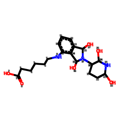 O=C(O)CCCCCNc1cccc2c1C(O)N(C1CCC(O)NC1O)C2O